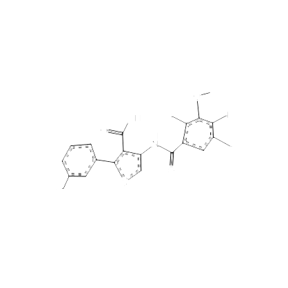 COc1c(I)c(I)cc(C(=O)Nc2csc(-c3cccc(Cl)c3)c2C(=O)O)c1I